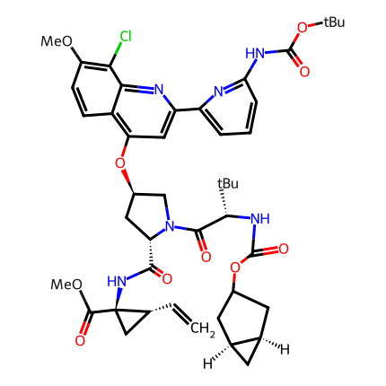 C=C[C@@H]1C[C@]1(NC(=O)[C@@H]1C[C@@H](Oc2cc(-c3cccc(NC(=O)OC(C)(C)C)n3)nc3c(Cl)c(OC)ccc23)CN1C(=O)[C@@H](NC(=O)OC1C[C@@H]2C[C@@H]2C1)C(C)(C)C)C(=O)OC